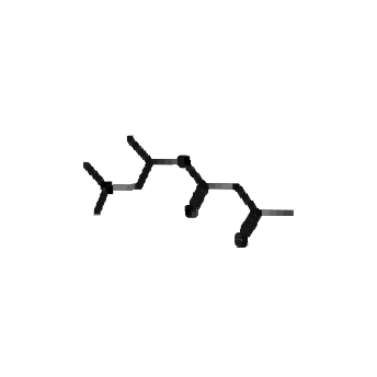 CC(=O)CC(=O)OC(C)CN(C)C